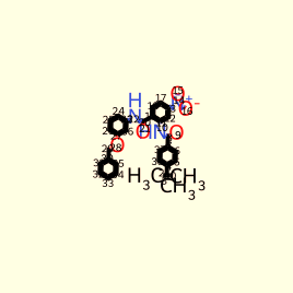 CC(C)(C)c1ccc(C(=O)Nc2cc([N+](=O)[O-])ccc2C(=O)Nc2cccc(OCc3ccccc3)c2)cc1